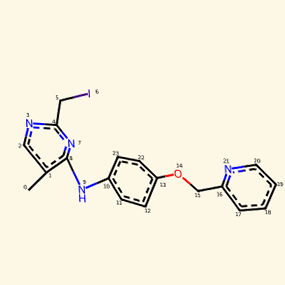 Cc1cnc(CI)nc1Nc1ccc(OCc2ccccn2)cc1